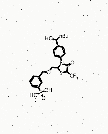 CCCCC(O)c1ccc(N2C(=O)C(C(F)(F)F)SC2COCc2cccc(P(=O)(O)O)c2)cc1